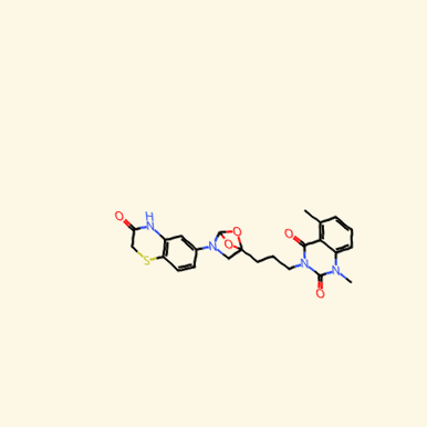 Cc1cccc2c1c(=O)n(CCCC13CN(c4ccc5c(c4)NC(=O)CS5)C(O1)O3)c(=O)n2C